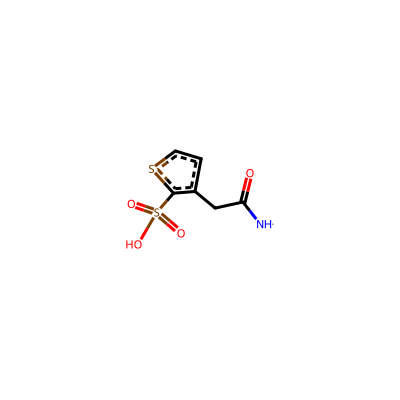 [NH]C(=O)Cc1ccsc1S(=O)(=O)O